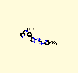 O=CN(Cc1cccnc1)c1ccc(-c2ccnc(NCCNc3ccc([N+](=O)[O-])cn3)n2)cc1